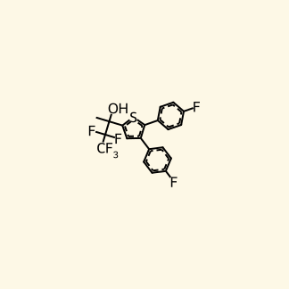 CC(O)(c1cc(-c2ccc(F)cc2)c(-c2ccc(F)cc2)s1)C(F)(F)C(F)(F)F